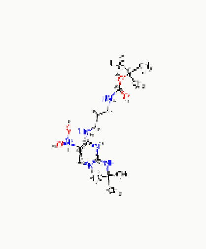 CC(C)(C)Nc1ncc([N+](=O)[O-])c(NCCCNC(=O)OC(C)(C)C)n1